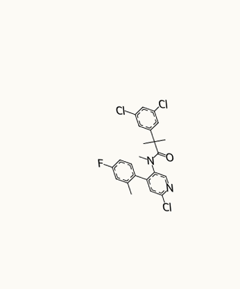 Cc1cc(F)ccc1-c1cc(Cl)ncc1N(C)C(=O)C(C)(C)c1cc(Cl)cc(Cl)c1